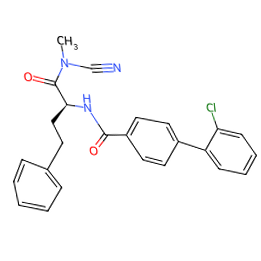 CN(C#N)C(=O)[C@H](CCc1ccccc1)NC(=O)c1ccc(-c2ccccc2Cl)cc1